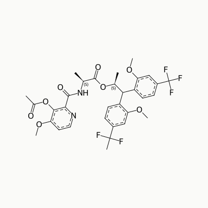 COc1cc(C(C)(F)F)ccc1C(c1ccc(C(F)(F)F)cc1OC)[C@H](C)OC(=O)[C@H](C)NC(=O)c1nccc(OC)c1OC(C)=O